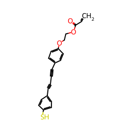 C=CC(=O)OCCOc1ccc(C#CC#Cc2ccc(S)cc2)cc1